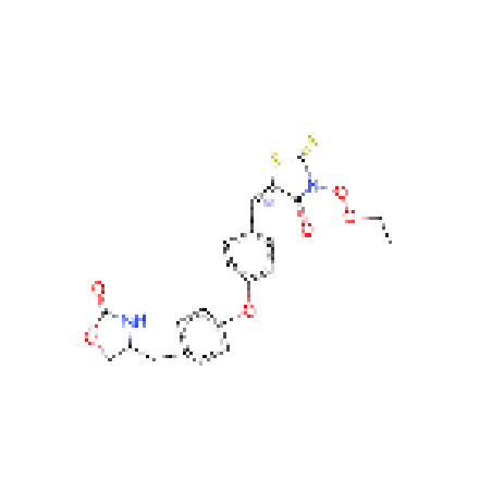 CCOON1C(=O)/C(=C\c2ccc(Oc3ccc(CC4COC(=O)N4)cc3)cc2)SC1=S